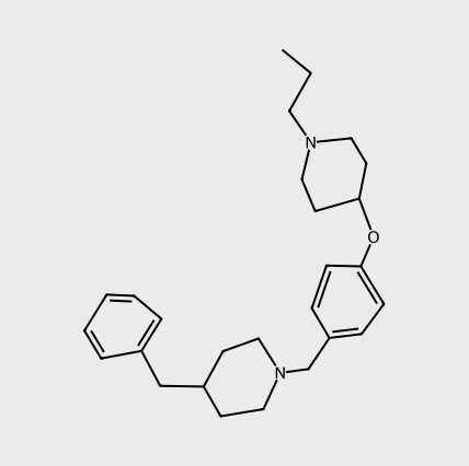 CCCN1CCC(Oc2ccc(CN3CCC(Cc4ccccc4)CC3)cc2)CC1